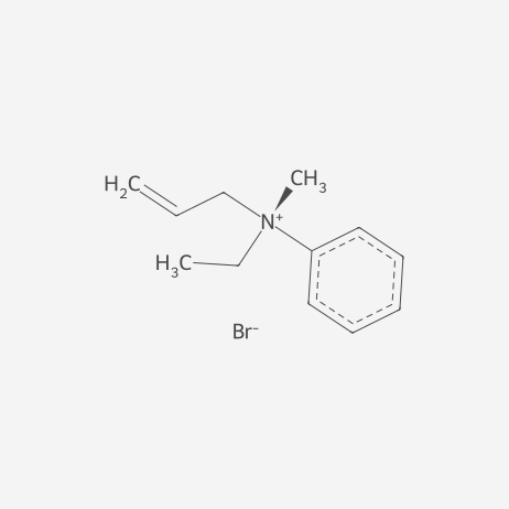 C=CC[N@@+](C)(CC)c1ccccc1.[Br-]